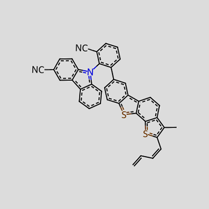 C=C/C=C\c1sc2c(ccc3c4cc(-c5cccc(C#N)c5-n5c6ccccc6c6cc(C#N)ccc65)ccc4sc32)c1C